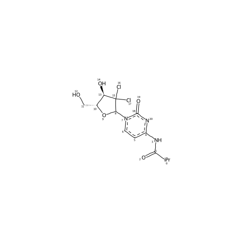 CC(C)C(=O)Nc1ccn(C2O[C@H](CO)[C@@H](O)C2(Cl)Cl)c(=O)n1